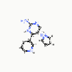 Nc1nccc(-c2cccnc2)n1.c1cc[nH]c1